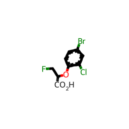 O=C(O)C(CF)Oc1ccc(Br)cc1Cl